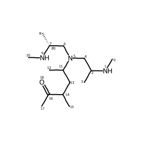 CNC(C)CN(C[C@@H](C)NC)C(C)CC(C)C(C)=O